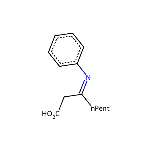 CCCCCC(CC(=O)O)=Nc1ccccc1